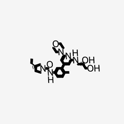 CC[C@@H]1CCN(C(=O)Nc2ccc(C)c(-c3cc(NC[C@@H](O)CO)nc(N4CCOCC4)c3)c2)C1